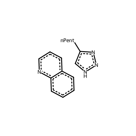 CCCCCc1c[nH]nn1.c1ccc2ncccc2c1